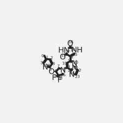 Cc1ccc(O[C@H]2CN(c3cc(-c4c[nH]c(=O)[nH]c4=O)nn4ccnc34)CC2(F)F)nc1